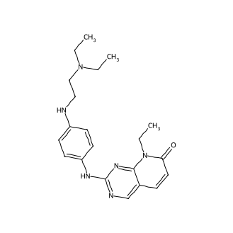 CCN(CC)CCNc1ccc(Nc2ncc3ccc(=O)n(CC)c3n2)cc1